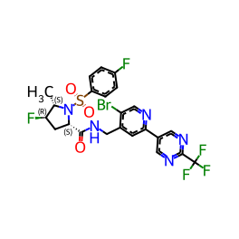 C[C@H]1[C@H](F)C[C@@H](C(=O)NCc2cc(-c3cnc(C(F)(F)F)nc3)ncc2Br)N1S(=O)(=O)c1ccc(F)cc1